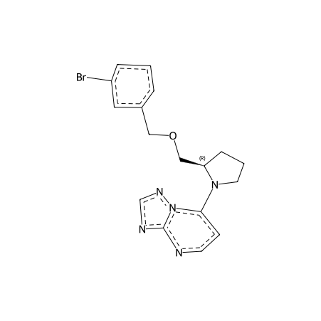 Brc1cccc(COC[C@H]2CCCN2c2ccnc3ncnn23)c1